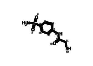 NS(=O)(=O)c1ccc(NC(=O)CS)cc1